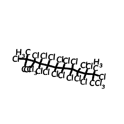 CC(Cl)(C(Cl)(Cl)Cl)C(Cl)(Cl)C(Cl)(Cl)C(Cl)(Cl)C(Cl)(Cl)C(Cl)(Cl)C(Cl)(Cl)C(Cl)(Cl)C(Cl)(Cl)C(C)(Cl)C(Cl)(Cl)Cl